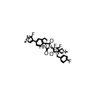 CN1CC(N(Cc2ccc(F)cc2)C(=O)CN2C(=O)N[C@]3(CCc4cc(-c5cn(C)nc5F)ccc43)C2=O)(C(F)(F)F)C1